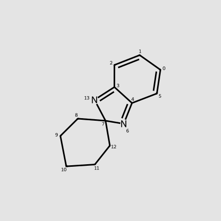 c1ccc2c(c1)=NC1(CCCCC1)N=2